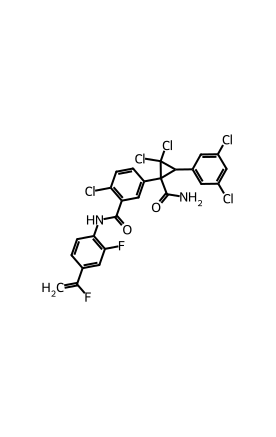 C=C(F)c1ccc(NC(=O)c2cc(C3(C(N)=O)C(c4cc(Cl)cc(Cl)c4)C3(Cl)Cl)ccc2Cl)c(F)c1